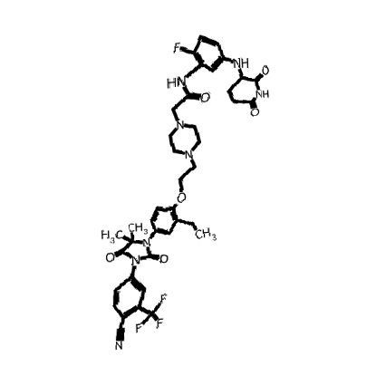 CCc1cc(N2C(=O)N(c3ccc(C#N)c(C(F)(F)F)c3)C(=O)C2(C)C)ccc1OCCN1CCN(CC(=O)Nc2cc(NC3CCC(=O)NC3=O)ccc2F)CC1